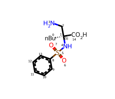 CCCC[C@@](CN)(NS(=O)(=O)c1ccccc1)C(=O)O